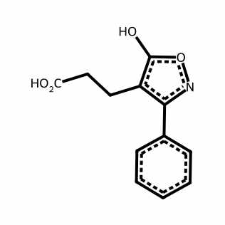 O=C(O)CCc1c(-c2ccccc2)noc1O